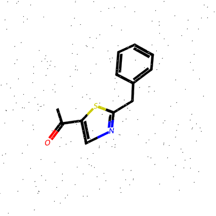 CC(=O)c1cnc(Cc2ccccc2)s1